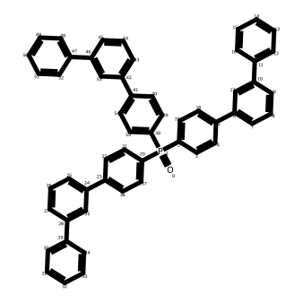 O=P(c1ccc(-c2cccc(-c3ccccc3)c2)cc1)(c1ccc(-c2cccc(-c3ccccc3)c2)cc1)c1ccc(-c2cccc(-c3ccccc3)c2)cc1